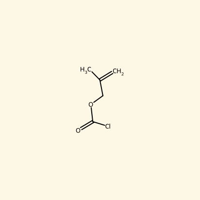 C=C(C)COC(=O)Cl